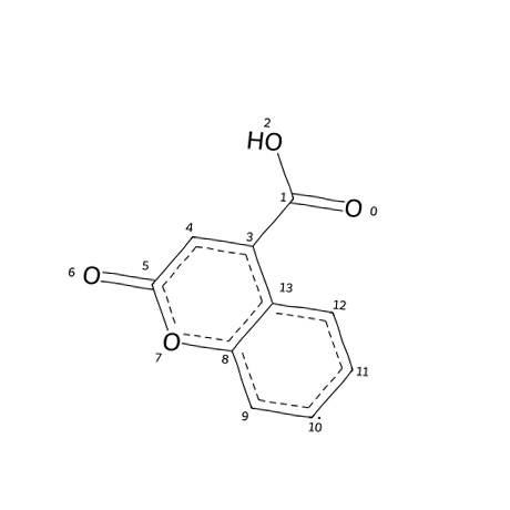 O=C(O)c1cc(=O)oc2c[c]ccc12